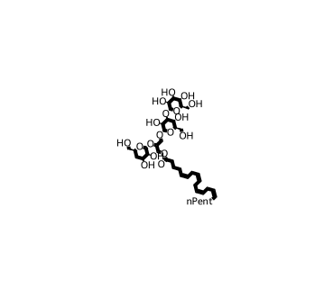 CCCCC/C=C\C/C=C\C/C=C\C/C=C\CCCC(=O)OCC(CO[C@@H]1O[C@H](CO)[C@@H](O)[C@H](O[C@@H]2O[C@H](CO)[C@@H](O)[C@H](O)[C@H]2O)[C@H]1O)OC1O[C@H](CO)C[C@H](O)[C@H]1O